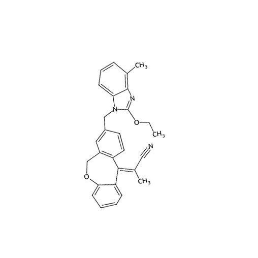 CCOc1nc2c(C)cccc2n1Cc1ccc2c(c1)COc1ccccc1C2=C(C)C#N